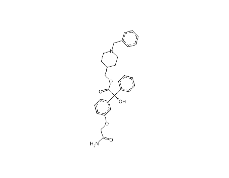 NC(=O)COc1cccc([C@](O)(C(=O)OCC2CCN(Cc3ccccc3)CC2)c2ccccc2)c1